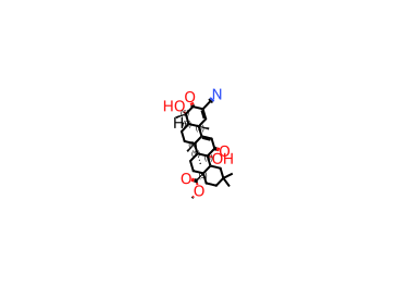 COC(=O)[C@]12CCC(C)(C)CC1[C@@]1(O)C(=O)C=C3[C@@]4(C)C=C(C#N)C(=O)[C@@](C)(O)[C@@H]4CC[C@@]3(C)[C@]1(C)CC2